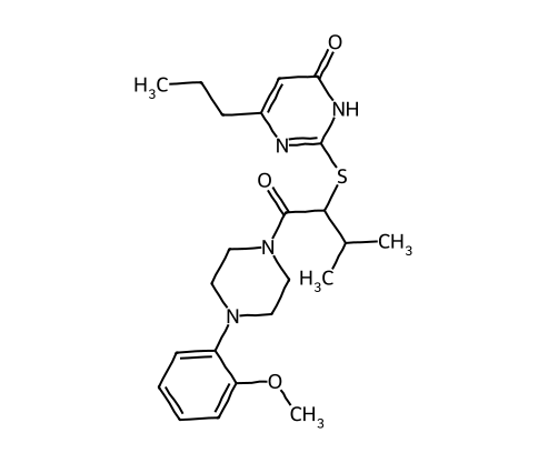 CCCc1cc(=O)[nH]c(SC(C(=O)N2CCN(c3ccccc3OC)CC2)C(C)C)n1